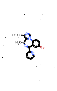 CCOC(=O)c1ncn2c1[C@@H](C)N=C(c1ccccn1)c1cc(Br)ccc1-2